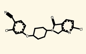 N#Cc1ccc(OC2CCC(N3Cc4nc(Cl)ccc4C3=O)CC2)cc1Cl